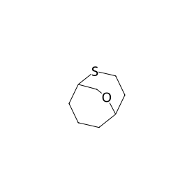 C1CC2CCSC(C1)CO2